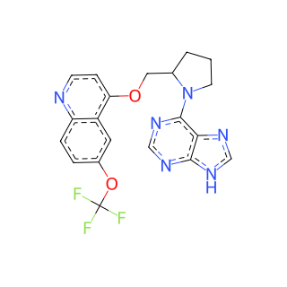 FC(F)(F)Oc1ccc2nccc(OCC3CCCN3c3ncnc4[nH]cnc34)c2c1